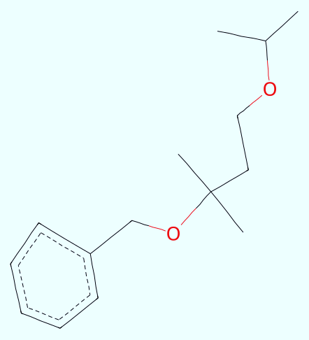 CC(C)OCCC(C)(C)OCc1ccccc1